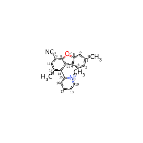 Cc1ccc2c(c1)oc1c(C#N)cc(C)c(-c3cccc[n+]3C)c12